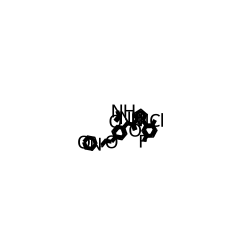 NC(=O)N[C@H](C(=O)N1CCCN1c1cc(F)ccc1Cl)c1ccc(OCCN2CCOCC2)cc1